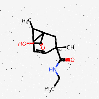 CCNC(=O)[C@]1(C)C=CC2C(C)C2(C(=O)O)C1